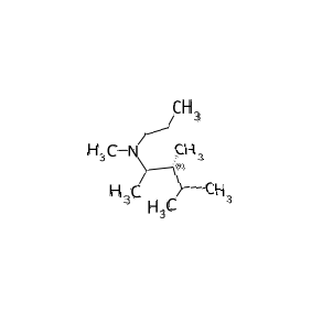 CCCN(C)C(C)[C@H](C)C(C)C